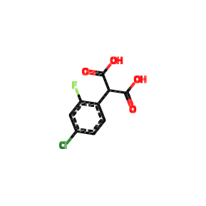 O=C(O)C(C(=O)O)c1ccc(Cl)cc1F